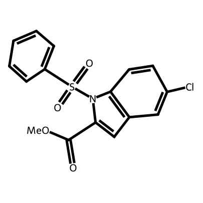 COC(=O)c1cc2cc(Cl)ccc2n1S(=O)(=O)c1ccccc1